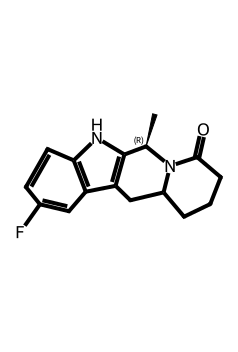 C[C@@H]1c2[nH]c3ccc(F)cc3c2CC2CCCC(=O)N21